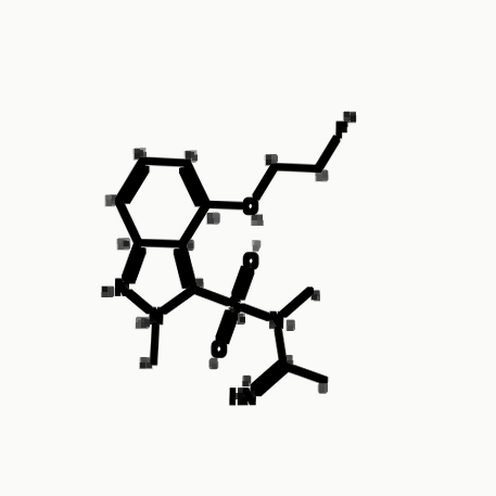 CC(=N)N(C)S(=O)(=O)c1c2c(OCCF)cccc2nn1C